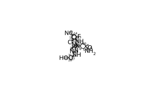 CC1(C(N)=O)CCC(n2c(Nc3c(F)cc(C#N)cc3Cl)nc3cnc(N[C@H]4CC[C@H](O)C4)nc32)CC1